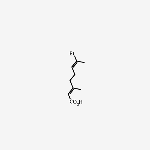 CC/C(C)=C/CC/C(C)=C/C(=O)O